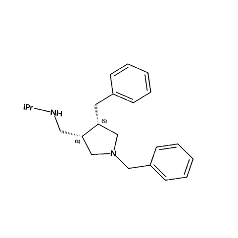 CC(C)NC[C@H]1CN(Cc2ccccc2)C[C@H]1Cc1ccccc1